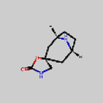 O=C1NC[C@@]2(C[C@H]3CC[C@@H](C2)N3)O1